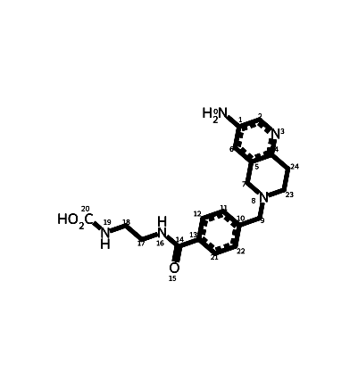 Nc1cnc2c(c1)CN(Cc1ccc(C(=O)NCCNC(=O)O)cc1)CC2